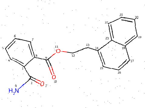 NC(=O)c1ccccc1C(=O)OCCc1cccc2ccccc12